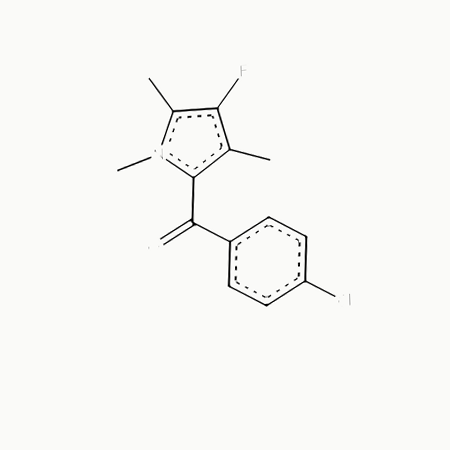 Cc1c(F)c(C)n(C)c1C(=O)c1ccc(Cl)cc1